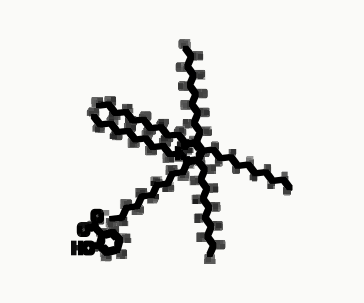 CCCCCCCCCCc1c(CCCCCCCCCC)c(CCCCCCCCCC)[n+](CCCCCCCCCC)c(CCCCCCCCCC)c1CCCCCCCCCC.O=C([O-])c1ccccc1O